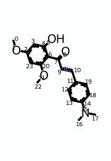 COc1cc(O)c(C(=O)/C=C/c2ccc(N(C)C)cc2)c(OC)c1